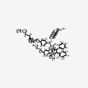 CCOCCOCCOCCOc1ccc(S(=O)(=O)N[C@H](c2ccccc2)[C@H](NCCCc2ccc(OC)cc2)c2ccccc2)cc1.[Cl-].[Cl-].[Cl-].[Cl-].[Ru+4]